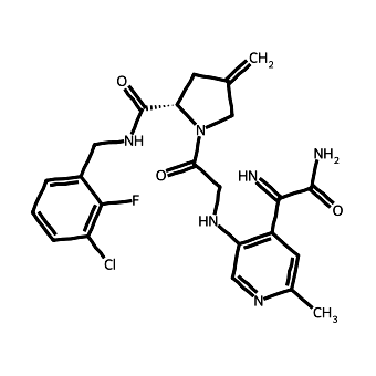 C=C1C[C@@H](C(=O)NCc2cccc(Cl)c2F)N(C(=O)CNc2cnc(C)cc2C(=N)C(N)=O)C1